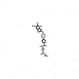 CCc1cc2ncc(CN3CCN(c4ccc(C(=O)NC5CN(C(=O)OC(C)(C)C)C5)nc4)CC3)cc2[nH]c1=O